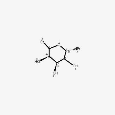 CCC1O[C@H](C(C)C)C(O)[C@@H](O)[C@H]1O